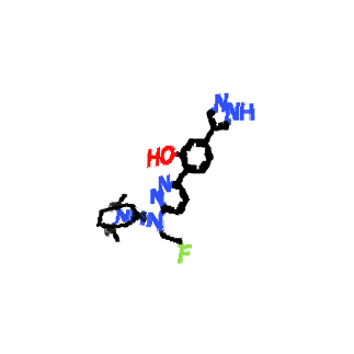 C[C@]12CC[C@](C)(C[C@H](N(CCF)c3ccc(-c4ccc(-c5cn[nH]c5)cc4O)nn3)C1)N2